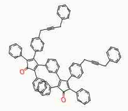 O=C1C(c2ccccc2)=C(c2ccc(CC#CCc3ccccc3)cc2)C(c2cccc(C3=C(c4ccccc4)C(=O)C(c4ccccc4)=C3c3ccc(CC#CCc4ccccc4)cc3)c2)=C1c1ccccc1